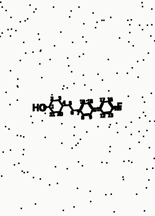 OC1CCC(CCc2ccc(-c3ccc(F)cc3)cc2)CC1